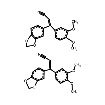 COc1ccc(/C(=C/C#N)c2ccc3c(c2)OCO3)cc1OC.COc1ccc(/C(=C/C#N)c2ccc3c(c2)OCO3)cc1OC